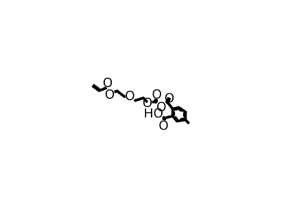 C=CC(=O)OCCOCCOC(=O)OC(=O)c1ccc(C)cc1C(=O)O